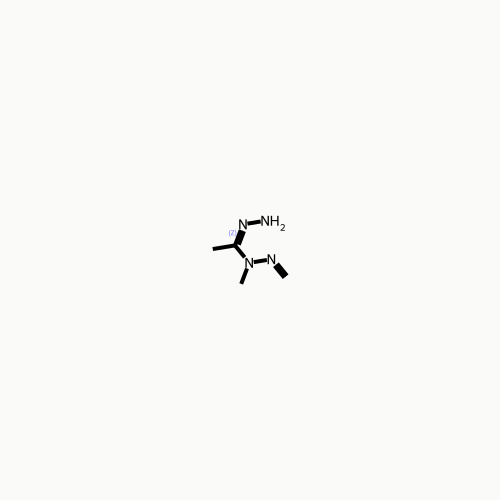 C=NN(C)/C(C)=N\N